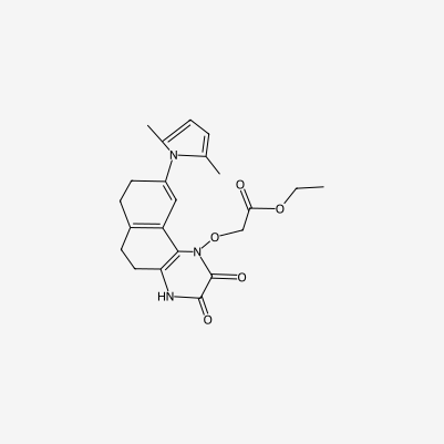 CCOC(=O)COn1c2c([nH]c(=O)c1=O)CCC1=C2C=C(n2c(C)ccc2C)CC1